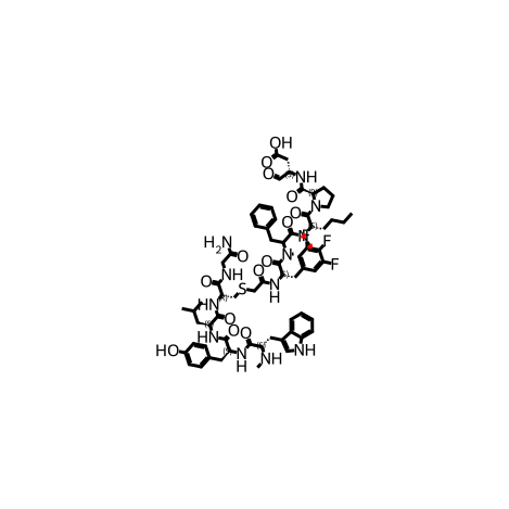 CCCC[C@@H](C(=O)N1CCC[C@@H]1C(=O)N[C@H](C=O)CC(=O)O)N(C)C(=O)C(Cc1ccccc1)N(C)C(=O)[C@H](Cc1cc(F)c(F)c(F)c1)NC(=O)CSC[C@H](NC(=O)[C@H](CC(C)C)NC(=O)[C@H](Cc1ccc(O)cc1)NC(=O)[C@H](Cc1c[nH]c2ccccc12)NC)C(=O)NCC(N)=O